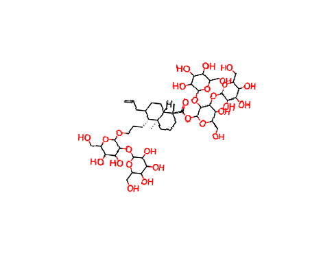 C=CCC1CC[C@H]2[C@@](C)(CCC[C@@]2(C)C(=O)OC2OC(CO)C(O)C(OC3OC(CO)C(O)C(O)C3O)C2OC2OC(CO)C(O)C(O)C2O)[C@@H]1CCCOC1OC(CO)C(O)C(O)C1OC1OC(CO)C(O)C(O)C1O